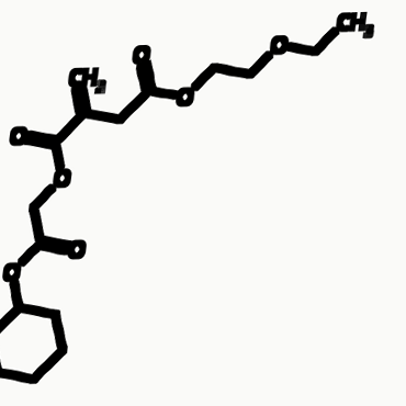 C=C(CC(=O)OCCOCC)C(=O)OCC(=O)OC1CCCCC1